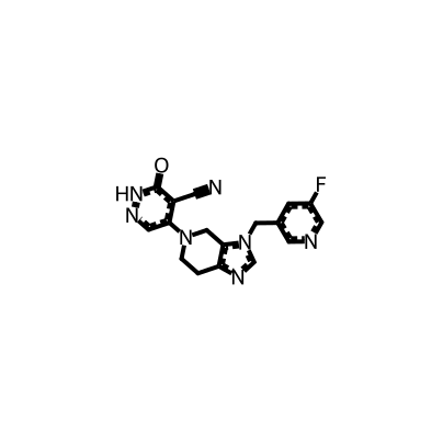 N#Cc1c(N2CCc3ncn(Cc4cncc(F)c4)c3C2)cn[nH]c1=O